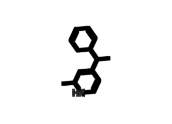 CC1C=C(C(C)C2C=CC=CC2)C=CN1